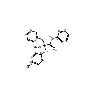 COC(Oc1ccccc1)(Oc1ccc(Cl)cc1)C(=O)Oc1ccccc1